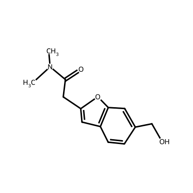 CN(C)C(=O)Cc1cc2ccc(CO)cc2o1